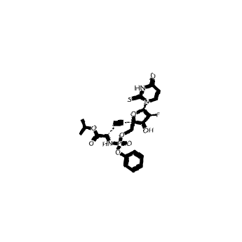 C#C[C@]1(COP(=O)(N[C@@H](C)C(=O)OC(C)C)Oc2ccccc2)O[C@@H](n2ccc(=O)[nH]c2=S)[C@@H](F)C1O